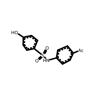 CC(=O)c1ccc(NS(=O)(=O)c2ccc(O)cc2)cc1